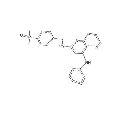 CP(C)(=O)c1ccc(CNc2cc(Nc3ccccc3)c3ncccc3n2)cc1